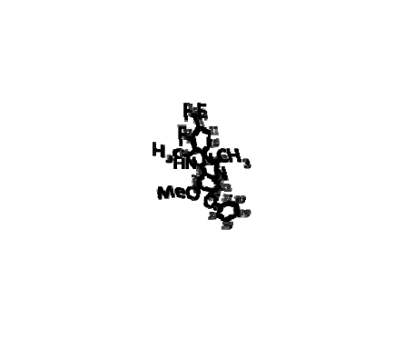 COc1cc2c(NC(C)c3cccc(C(F)F)c3F)nc(C)nc2cc1Oc1ccccc1